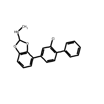 CNC1Oc2cccc(-c3ccc(-c4ccccc4)c(Cl)c3)c2O1